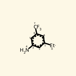 C[CH]c1cc(N)cc(C(F)(F)F)c1